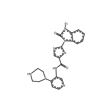 CCn1c(=O)n(-c2nc(C(=O)Nc3cnccc3N3CCNCC3)cs2)c2ccccc21